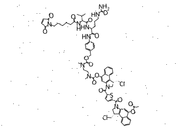 CC(=O)Oc1cc2c(c3ccccc13)[C@H](CCl)CN2C(=O)c1ccc(C(=O)N2C[C@@H](CCl)c3c2cc(OC(=O)N(C)CCN(C)C(=O)OCc2ccc(NC(=O)[C@H](CCCNC(N)=O)NC(=O)[C@@H](NC(=O)CCCCCN4C(=O)C=CC4=O)C(C)C)cc2)c2ccccc32)s1